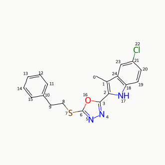 Cc1c(-c2nnc(SCCc3ccccc3)o2)[nH]c2ccc(Cl)cc12